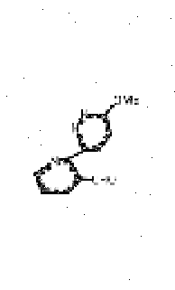 COc1ccc(-c2ncccc2C=O)nn1